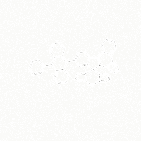 c1ccc(-c2c3ccccc3c(-c3ccc4c(c3)C3(c5ccccc5Oc5ccccc53)c3c-4c4ccccc4c4ccccc34)c3ccccc23)cc1